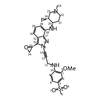 COc1cc(S(C)(=O)=O)ccc1NCC#Cn1nc2c(N[C@@H]3CCN(C)C[C@@H]3F)cccc2c1[C@H]1CO1